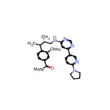 CNC(=O)c1ccc(C(C)[C@H](C)CNc2cc(-c3ccc(N4CCCC4)nc3)ncn2)c(OC)c1